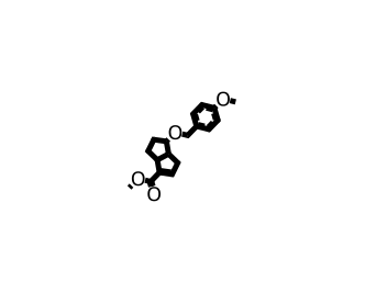 COC(=O)C1=CCC2C(OCc3ccc(OC)cc3)CCC12